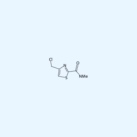 CNC(=O)c1nc(CCl)cs1